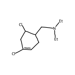 CCN(CC)CC1CC=C(Cl)CC1Cl